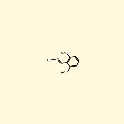 COc1cccc(S(=O)(=O)O)c1N=NN